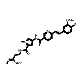 C/N=C(/CCNC(=O)c1cc(NC(=O)c2ccc(/C=C/c3ccc(F)c(OC)c3)nc2)cn1C)NC